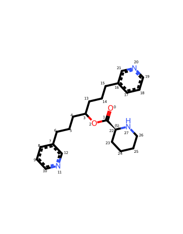 O=C(OC(CCCc1cccnc1)CCCc1cccnc1)[C@@H]1CCCCN1